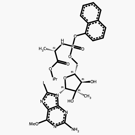 COc1nc(N)nc2c1nc(I)n2[C@@H]1O[C@H](COP(=O)(N[C@@H](C)C(=O)OC(C)C)Oc2cccc3ccccc23)[C@@H](O)[C@@]1(C)O